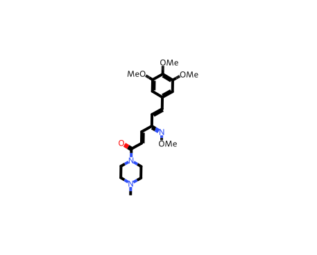 CON=C(/C=C/C(=O)N1CCN(C)CC1)/C=C/c1cc(OC)c(OC)c(OC)c1